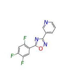 Fc1cc(F)c(-c2nc(-c3cccnc3)no2)cc1F